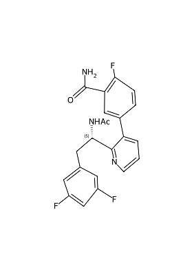 CC(=O)N[C@@H](Cc1cc(F)cc(F)c1)c1ncccc1-c1ccc(F)c(C(N)=O)c1